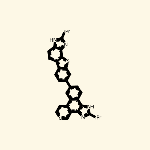 CC(C)c1nc2c(ccc3c4ccc(-c5ccc6c(c5)c5ccncc5c5nc(C(C)C)[nH]c65)cc4sc32)[nH]1